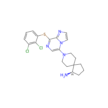 N[C@@H]1CCCC12CCN(c1cnc(Sc3cccc(Cl)c3Cl)c3nccn13)CC2